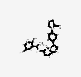 CC(Oc1ccc2ncc(-c3ccc(N4CCCC4=O)cc3)n2n1)c1cc(F)cnc1F